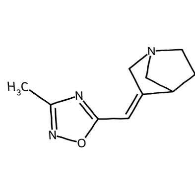 Cc1noc(C=C2CN3CCC2C3)n1